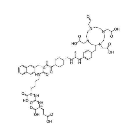 O=CCN1CCN(CC(=O)O)CCN(CC(=O)O)C(Cc2ccc(NC(=S)NC[C@H]3CC[C@H](C(=O)N[C@@H](Cc4ccc5ccccc5c4)C(=O)NCCCC[C@H](NC(=O)N[C@@H](CCC(=O)O)C(=O)O)C(=O)O)CC3)cc2)CN(CC(=O)O)CC1